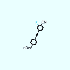 CCCCCCCCCCc1ccc(C#Cc2ccc(C#N)c(F)c2)cc1